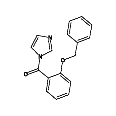 O=C(c1ccccc1OCc1ccccc1)n1ccnc1